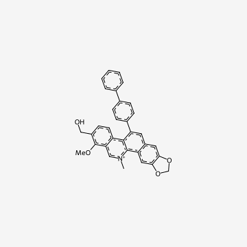 COc1c(CO)ccc2c1c[n+](C)c1c3cc4c(cc3cc(-c3ccc(-c5ccccc5)cc3)c21)OCO4